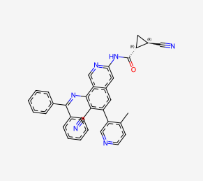 Cc1ccncc1-c1cc2cc(NC(=O)[C@@H]3C[C@H]3C#N)ncc2c(N=C(c2ccccc2)c2ccccc2)c1C#N